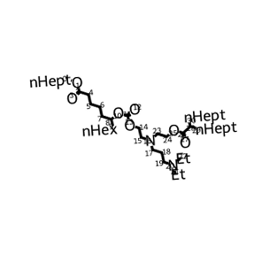 CCCCCCCOC(=O)CCCCC(CCCCCC)OC(=O)OCCN(CCCN(CC)CC)CCOC(=O)C(CCCCCCC)CCCCCCC